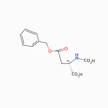 O=C(O)N[C@@H](CC(=O)OCc1ccccc1)C(=O)O